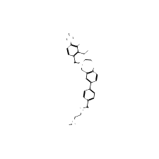 CCc1c(C(=O)N2CCOc3ccc(-c4ccc(C(=O)NCCNC)cc4)cc3C2)ccc(S(C)(=O)=O)c1F